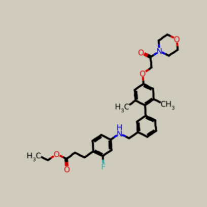 CCOC(=O)CCc1ccc(NCc2cccc(-c3c(C)cc(OCC(=O)N4CCOCC4)cc3C)c2)cc1F